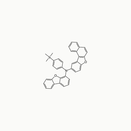 C[Si](C)(C)c1ccc(N(c2ccc3oc4ccc5ccccc5c4c3c2)c2cccc3c2oc2ccccc23)cc1